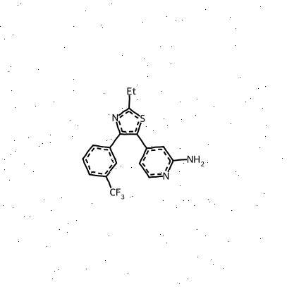 CCc1nc(-c2cccc(C(F)(F)F)c2)c(-c2ccnc(N)c2)s1